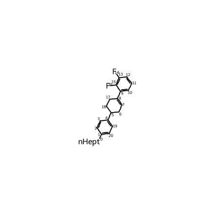 CCCCCCCc1ccc(C2CC=C(c3cccc(F)c3F)CC2)cc1